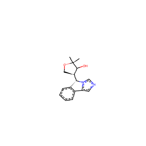 CC1(C)OC[C@H]([C@H]2c3ccccc3-c3cncn32)C1O